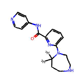 [2H]C1([2H])CCNCCN1c1cccc(C(=O)Nc2ccncc2)n1